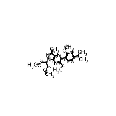 CCc1nc2c(nc1-c1ccc(C(C)C)nc1OC)c(C)nn2C(COC)COC